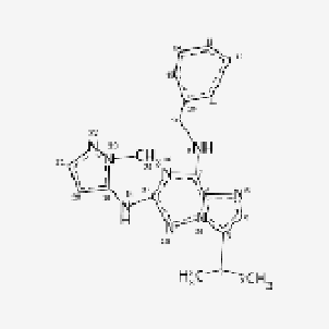 CC(C)c1cnc2c(NCc3ccccc3)nc(Nc3ccnn3C)nn12